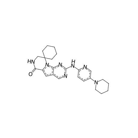 O=C1NCC2(CCCCC2)n2c1cc1cnc(Nc3ccc(N4CCCCC4)cn3)nc12